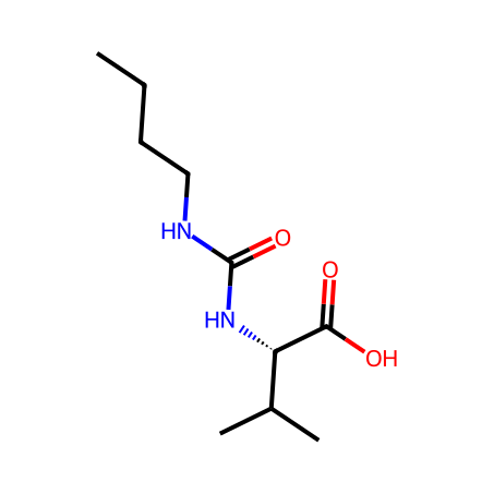 CCCCNC(=O)N[C@H](C(=O)O)C(C)C